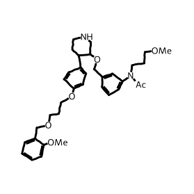 COCCCN(C(C)=O)c1cccc(COC2CNCCC2c2ccc(OCCCOCc3ccccc3OC)cc2)c1